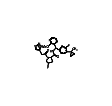 COc1ncccc1C(NC(=O)C1CC(F)CN1C(=O)Cc1cnn[nH]1)c1ccc(C2(C)CC2)c(F)c1